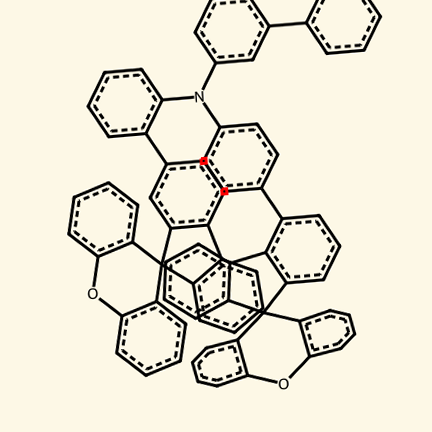 c1ccc(-c2cccc(N(c3ccc(-c4cccc5c4-c4ccccc4C54c5ccccc5Oc5ccccc54)cc3)c3ccccc3-c3ccc4c(c3)C3(c5ccccc5Oc5ccccc53)c3ccccc3-4)c2)cc1